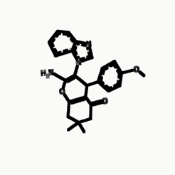 COc1ccc(C2C3=C(CC(C)(C)CC3=O)OC(N)=C2n2cnc3ccccc32)cc1